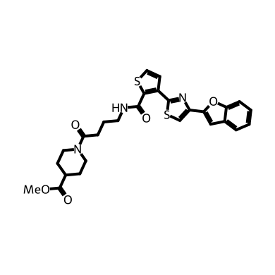 COC(=O)C1CCN(C(=O)CCCNC(=O)c2sccc2-c2nc(-c3cc4ccccc4o3)cs2)CC1